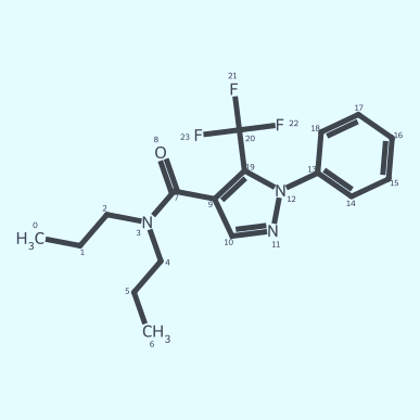 CCCN(CCC)C(=O)c1cnn(-c2ccccc2)c1C(F)(F)F